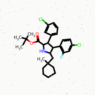 CC1(CC2NC(C(=O)OC(C)(C)C)C(c3cccc(Cl)c3)C2c2ccc(Cl)cc2F)CCCCC1